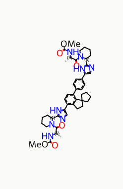 COC(=O)N[C@@H](C)C(=O)N1CCCC[C@H]1c1ncc(-c2ccc(-c3ccc(-c4cnc([C@@H]5CCCCN5C(=O)[C@H](C)NC(=O)OC)[nH]4)c4c3C3(CCCC3)CC4)cc2)[nH]1